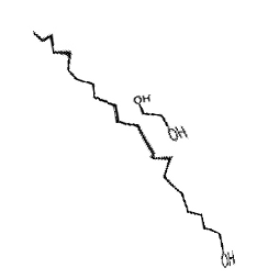 CCCCCCCCCCCCCCCCCCO.OCCO